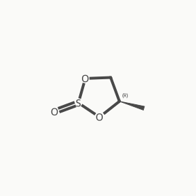 C[C@@H]1COS(=O)O1